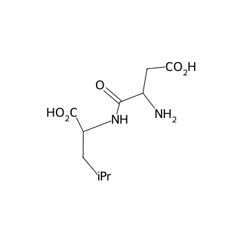 CC(C)CC(NC(=O)C(N)CC(=O)O)C(=O)O